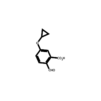 O=Cc1ccc(OC2CC2)cc1C(=O)O